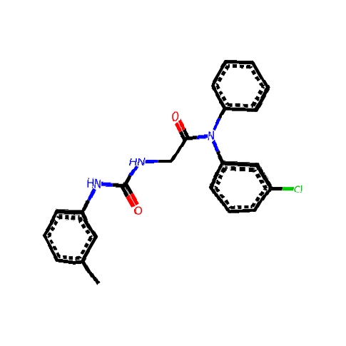 Cc1cccc(NC(=O)NCC(=O)N(c2ccccc2)c2cccc(Cl)c2)c1